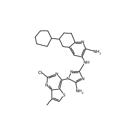 Cc1csc2c(-n3nc(Nc4cc5c(nc4N)CCC(C4CCCCC4)C5)nc3N)nc(Cl)nc12